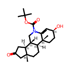 CC(C)(C)OC(=O)N1C[C@H]2[C@@H]3CC(=O)C[C@@]3(C)CC[C@@H]2[C@@]2(C)CC[C@H](O)C=C12